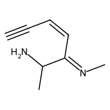 C#C/C=C\C(=N/C)C(C)N